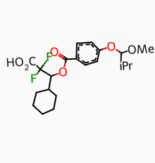 COC(Oc1ccc(C(=O)OC(C2CCCCC2)C(F)(F)C(=O)O)cc1)C(C)C